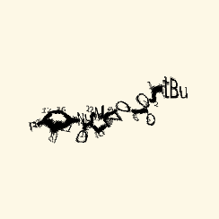 CC(C)(C)CCOC(=O)COc1ncc(C(=O)Nc2ccc(F)cc2)cn1